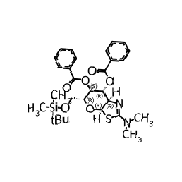 CN(C)C1=N[C@@H]2[C@@H](OC(=O)c3ccccc3)[C@H](OC(=O)c3ccccc3)[C@@H](CO[Si](C)(C)C(C)(C)C)O[C@@H]2S1